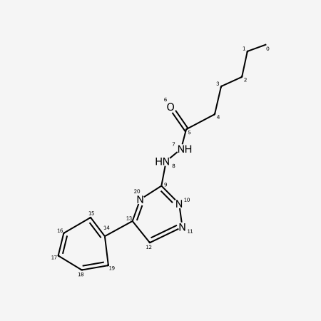 CCCCCC(=O)NNc1nncc(-c2ccccc2)n1